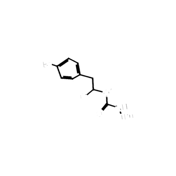 CC(C)(C)NC(=O)OC(Cl)Cc1ccc(Br)cc1